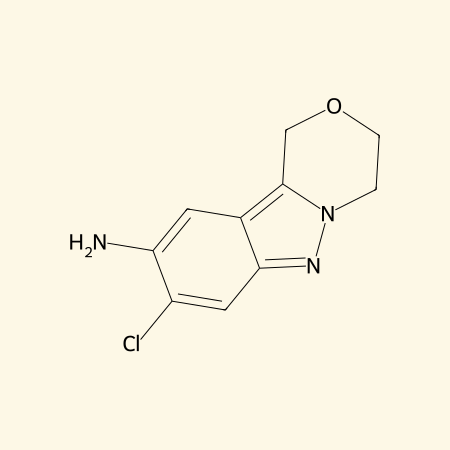 Nc1cc2c3n(nc2cc1Cl)CCOC3